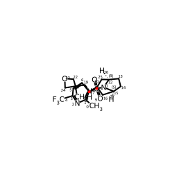 Cc1nc(C(F)(F)F)ccc1S(=O)(=O)N1[C@@H]2CC[C@H]1CC(NCC1(C)COC1)C2